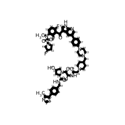 Cc1ncsc1-c1ccc(CNC(=O)[C@@H]2C[C@@H](O)CN2C(=O)[C@@H](NC(=O)CN2CCC(CN3CCN(c4ccc(-c5cnc6[nH]cc(C(=O)c7c(F)ccc(N(C)S(=O)(=O)N8CC[C@@H](F)C8)c7F)c6c5)cc4)CC3)CC2)C(C)(C)C)cc1